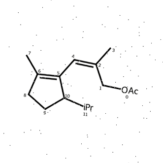 CC(=O)OCC(C)=CC1=C(C)CCC1C(C)C